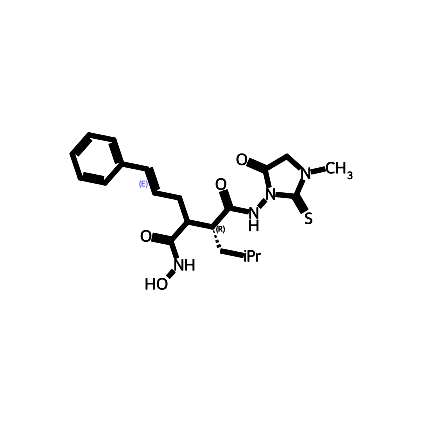 CC(C)C[C@@H](C(=O)NN1C(=O)CN(C)C1=S)C(C/C=C/c1ccccc1)C(=O)NO